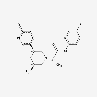 C[C@H]1C[C@@H](c2ccc(=O)[nH]n2)CN([C@@H](C)C(=O)Nc2ccc(F)cn2)C1